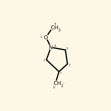 [CH2]C1CCN(OC)C1